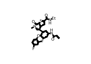 C=CC(=O)Nc1ccc(Oc2ccc(F)cc2F)c(-c2cn(C)c(=O)c3sc(C(=O)NCC)cc23)c1